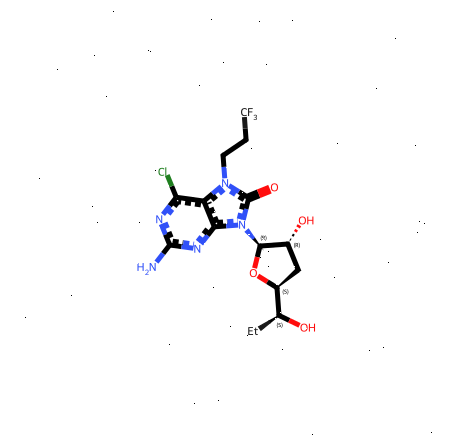 CC[C@H](O)[C@@H]1C[C@@H](O)[C@H](n2c(=O)n(CCC(F)(F)F)c3c(Cl)nc(N)nc32)O1